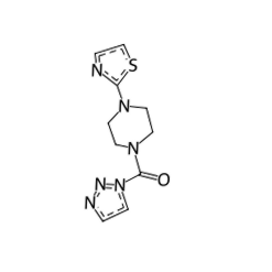 O=C(N1CCN(c2nccs2)CC1)n1ccnn1